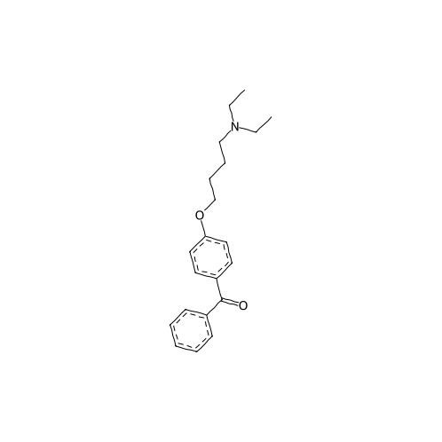 CCN(CC)CCCCOc1ccc(C(=O)c2ccccc2)cc1